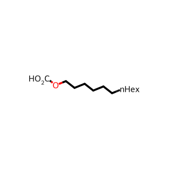 CCCCCCCCCCCCOC(=O)O